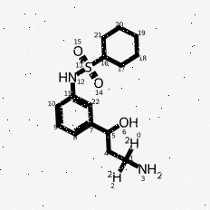 [2H]C([2H])(N)CC(O)c1cccc(NS(=O)(=O)C2CCCCC2)c1